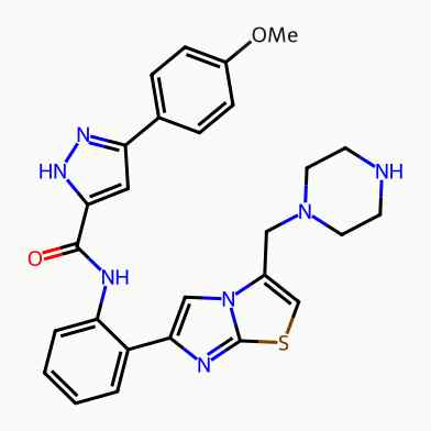 COc1ccc(-c2cc(C(=O)Nc3ccccc3-c3cn4c(CN5CCNCC5)csc4n3)[nH]n2)cc1